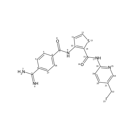 N=C(N)c1ccc(C(=O)Nc2ccsc2C(=O)Nc2ccc(CI)cn2)cc1